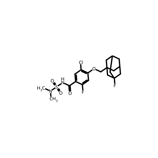 CN(C)S(=O)(=O)NC(=O)c1cc(Cl)c(OCC23CC4CC(CC(F)(C4)C2)C3)cc1F